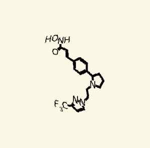 O=C(C=Cc1ccc(C2CCCN2CCn2ccc(C(F)(F)F)n2)cc1)NO